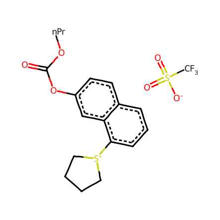 CCCOC(=O)Oc1ccc2cccc([S+]3CCCC3)c2c1.O=S(=O)([O-])C(F)(F)F